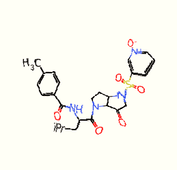 Cc1ccc(C(=O)NC(CC(C)C)C(=O)N2CCC3C2C(=O)CN3S(=O)(=O)c2ccc[n+]([O-])c2)cc1